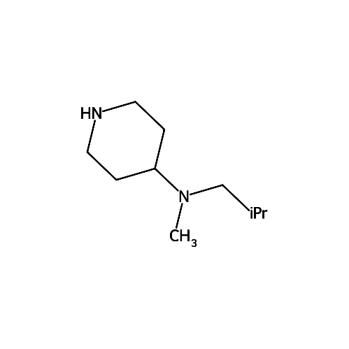 CC(C)CN(C)C1CCNCC1